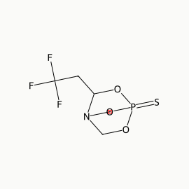 FC(F)(F)CC1OP2(=S)OCN1CO2